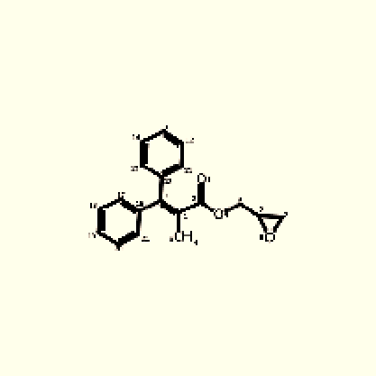 CC(C(=O)OCC1CO1)=C(c1ccccc1)c1ccccc1